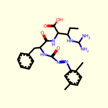 CCC(NC(N)N)C(NC(=O)C(Cc1ccccc1)NC(=O)/N=N/c1cc(C)ccc1C)C(=O)O